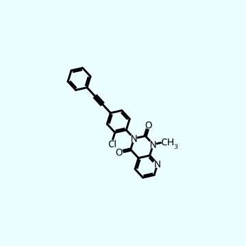 Cn1c(=O)n(-c2ccc(C#Cc3ccccc3)cc2Cl)c(=O)c2cccnc21